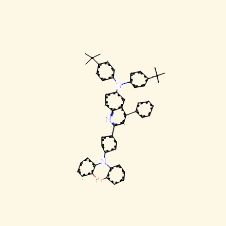 CC(C)(C)c1ccc(N(c2ccc(C(C)(C)C)cc2)c2ccc3nc(-c4ccc(N5c6ccccc6Oc6ccccc65)cc4)cc(-c4ccccc4)c3c2)cc1